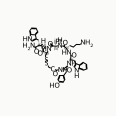 CC(C)[C@@H]1NC(=O)[C@H](CCCCN)NC(=O)[C@@H](Cc2c[nH]c3ccccc23)NC(=O)[C@H](Cc2ccc(O)cc2)NC(=O)CCSSC[C@@H](C(=O)N[C@@H](Cc2c[nH]c3ccccc23)C(N)=O)NC1=O